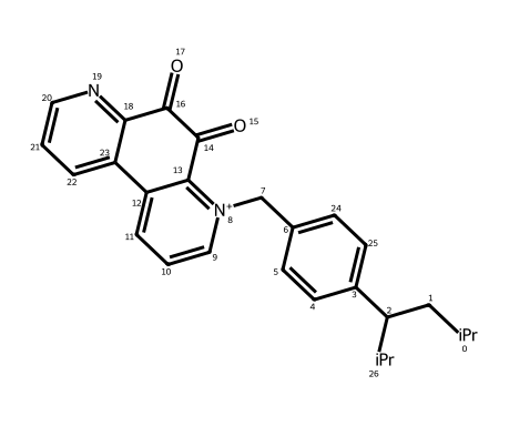 CC(C)CC(c1ccc(C[n+]2cccc3c2C(=O)C(=O)c2ncccc2-3)cc1)C(C)C